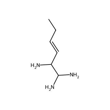 CCC=CC(N)C(N)N